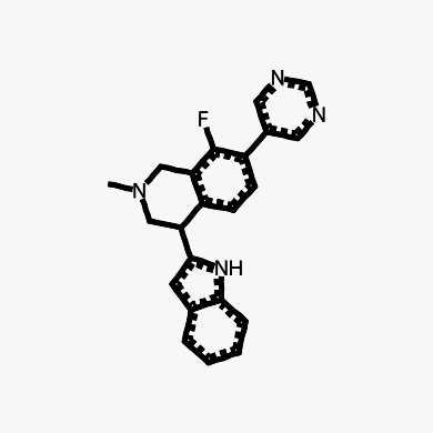 CN1Cc2c(ccc(-c3cncnc3)c2F)C(c2cc3ccccc3[nH]2)C1